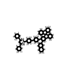 c1ccc(-c2cc(-c3ccccc3)nc(-c3ccc(-c4ccc(-c5cc6c(cc5-c5ccc7ccccc7c5)-c5ccccc5C65c6ccccc6-c6ccccc65)cc4)cc3)n2)cc1